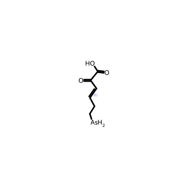 O=C(O)C(=O)/C=C/CC[AsH2]